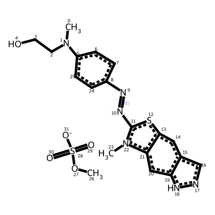 CN(CCO)c1ccc(/N=N/c2sc3cc4cn[nH]c4cc3[n+]2C)cc1.COS(=O)(=O)[O-]